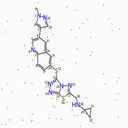 Cn1cc(-c2cnc3ccc(Sc4nnc5sc(CNC6CC6)nn45)cc3c2)cn1